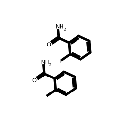 NC(=O)c1ccccc1I.NC(=O)c1ccccc1I